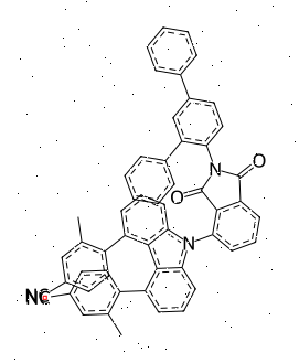 Cc1cc(C#N)ccc1-c1cccc2c1c1c(-c3ccc(C#N)cc3C)cccc1n2-c1cccc2c1C(=O)N(c1ccc(-c3ccccc3)cc1-c1ccccc1)C2=O